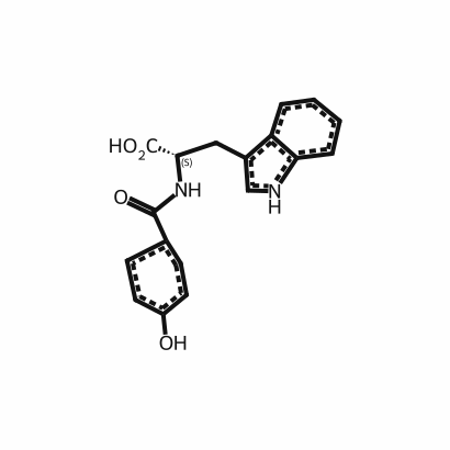 O=C(N[C@@H](Cc1c[nH]c2ccccc12)C(=O)O)c1ccc(O)cc1